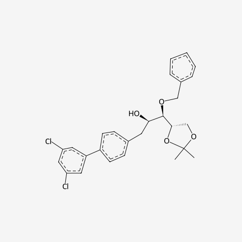 CC1(C)OC[C@@H]([C@H](OCc2ccccc2)[C@H](O)Cc2ccc(-c3cc(Cl)cc(Cl)c3)cc2)O1